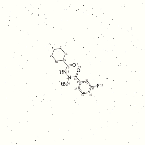 CC(C)(C)N(NC(=O)C1CCCCC1)C(=O)c1cccc(F)c1